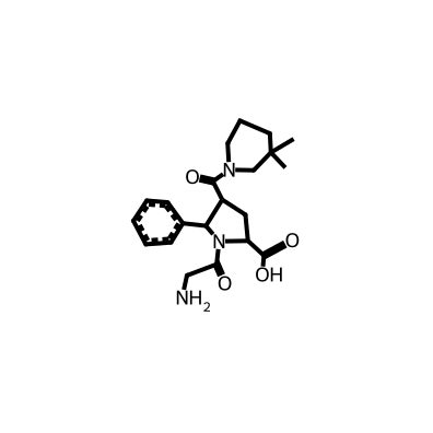 CC1(C)CCCN(C(=O)C2CC(C(=O)O)N(C(=O)CN)C2c2ccccc2)C1